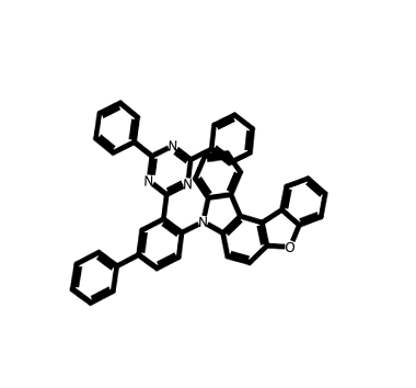 c1ccc(-c2ccc(-n3c4ccccc4c4c5c(ccc43)oc3ccccc35)c(-c3nc(-c4ccccc4)nc(-c4ccccc4)n3)c2)cc1